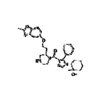 Cc1nc2cc(OCC[C@@H]3CNCCN3C(=O)c3ncn([C@@H]4CCCC[C@]4(C)O)c3-c3ccccc3)ccc2o1